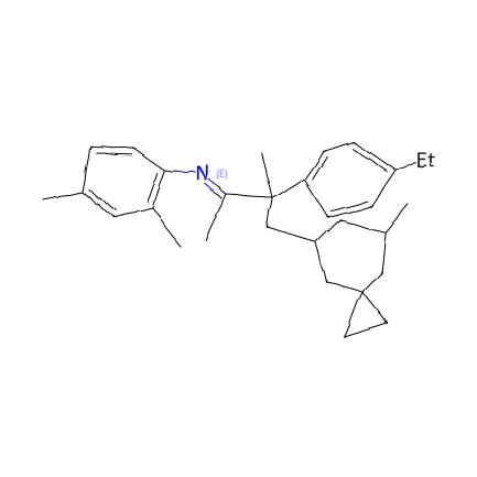 CCc1ccc(C(C)(CC2CC(C)CC3(CC3)C2)/C(C)=N/c2ccc(C)cc2C)cc1